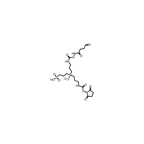 C[N+](CCCNC(=O)ONC(=O)CCC=O)(CCCNC(=O)ON1C(=O)CCC1=O)CCCS(=O)(=O)O